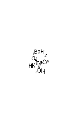 O=[N+]([O-])O.[BaH2].[KH]